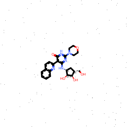 O=c1[nH]c(N2CCOCC2)nc(N[C@@H]2C[C@H](CO)[C@@H](O)[C@H]2O)c1-c1ccc2ccccc2n1